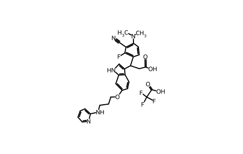 CN(C)c1ccc(C(CC(=O)O)c2c[nH]c3cc(OCCCNc4ccccn4)ccc23)c(F)c1C#N.O=C(O)C(F)(F)F